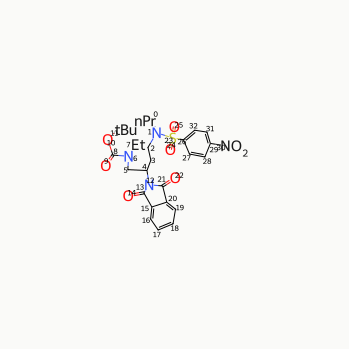 CCCN(CCC(CN(CC)C(=O)OC(C)(C)C)N1C(=O)c2ccccc2C1=O)S(=O)(=O)c1ccc([N+](=O)[O-])cc1